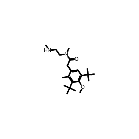 CNCCN(C)C(=O)Cc1cc(C(C)(C)C)c(OC)c(C(C)(C)C)c1C